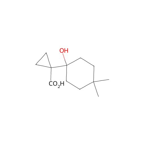 CC1(C)CCC(O)(C2(C(=O)O)CC2)CC1